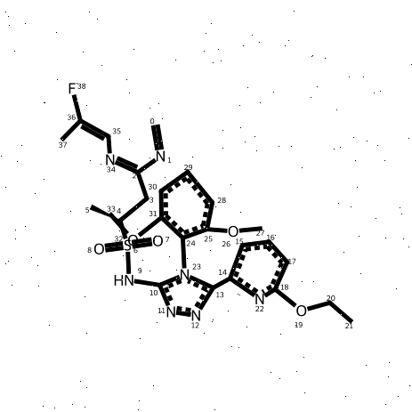 C=N/C(C[C@H](C)S(=O)(=O)Nc1nnc(-c2cccc(OCC)n2)n1-c1c(OC)cccc1OC)=N\C=C(/C)F